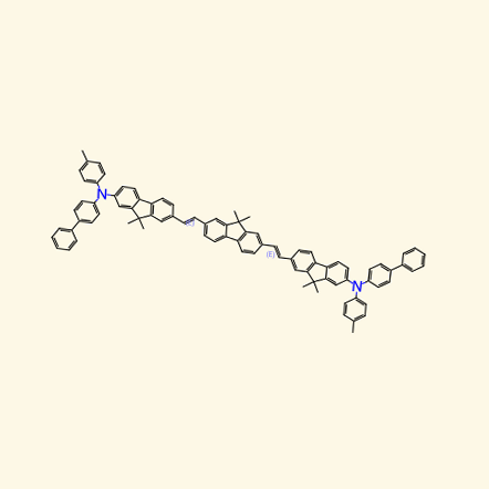 Cc1ccc(N(c2ccc(-c3ccccc3)cc2)c2ccc3c(c2)C(C)(C)c2cc(/C=C/c4ccc5c(c4)C(C)(C)c4cc(/C=C/c6ccc7c(c6)C(C)(C)c6cc(N(c8ccc(C)cc8)c8ccc(-c9ccccc9)cc8)ccc6-7)ccc4-5)ccc2-3)cc1